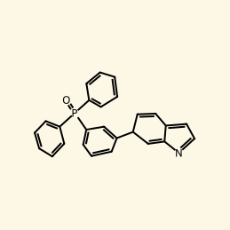 O=P(c1ccccc1)(c1ccccc1)c1cccc(C2C=CC3=CC=NC3=C2)c1